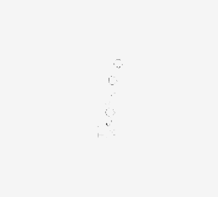 CCO[C@@H](Cc1ccc(OCCOc2ccc(Oc3ccccc3)cc2)cc1)C(=O)O